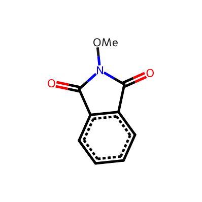 CON1C(=O)c2ccccc2C1=O